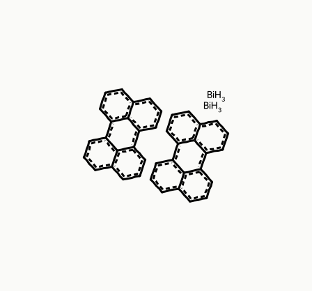 [BiH3].[BiH3].c1cc2cccc3c4cccc5cccc(c(c1)c23)c54.c1cc2cccc3c4cccc5cccc(c(c1)c23)c54